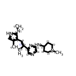 C=Nc1[nH]cc(C)c1/C=C(\C)c1cncc(NC2CCN(C)CC2)n1